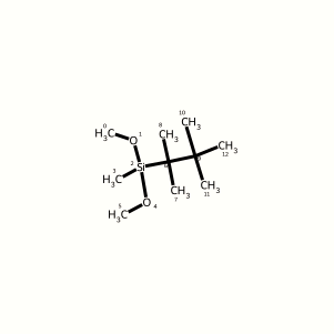 CO[Si](C)(OC)C(C)(C)C(C)(C)C